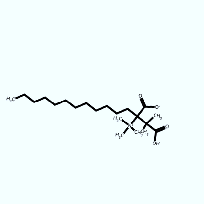 CCCCCCCCCCCCC(C(=O)[O-])(C(C)(C)C(=O)O)[N+](C)(C)C